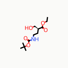 CCOC(=O)[C@H](CO)CCNC(=O)OC(C)(C)C